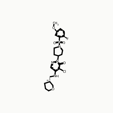 COc1ccc(F)c(S(=O)(=O)N2CCC(n3ncc(NC[C@H]4CCCOC4)c(Cl)c3=O)CC2)c1